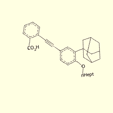 CCCCCCCOc1ccc(C#Cc2ccccc2C(=O)O)cc1C12CC3CC(CC(C3)C1)C2